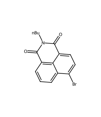 CCCCN1C(=O)c2cccc3c(Br)ccc(c23)C1=O